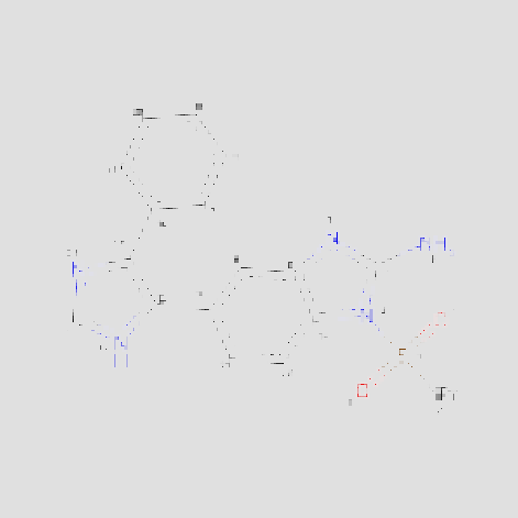 CC(C)S(=O)(=O)n1c(N)nc2cc(-c3[nH]cnc3-c3ccccc3)ccc21